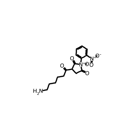 NCCCCCC(=O)C1CC(=O)[N+]([O-])(c2ccccc2[N+](=O)[O-])C1=O